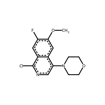 COc1cc2c(N3CCOCC3)cnc(Cl)c2cc1F